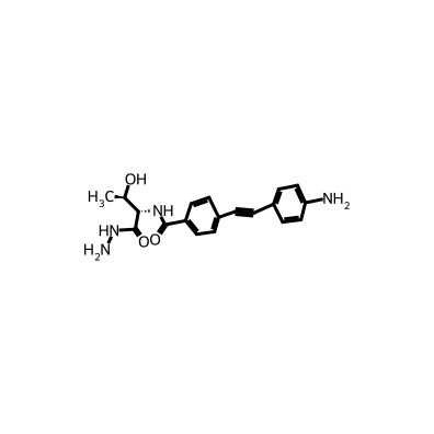 C[C@@H](O)[C@H](NC(=O)c1ccc(C#Cc2ccc(N)cc2)cc1)C(=O)NN